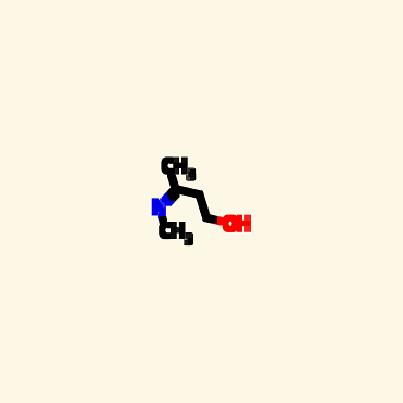 C/N=C(/C)CCO